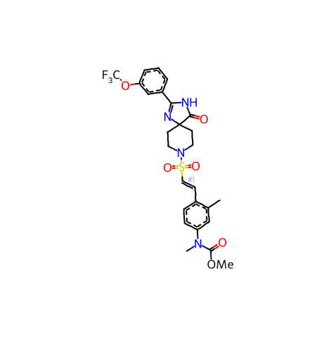 COC(=O)N(C)c1ccc(/C=C/S(=O)(=O)N2CCC3(CC2)N=C(c2cccc(OC(F)(F)F)c2)NC3=O)c(C)c1